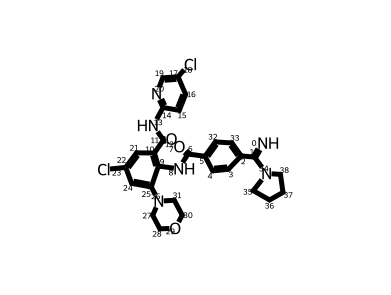 N=C(c1ccc(C(=O)Nc2c(C(=O)Nc3ccc(Cl)cn3)cc(Cl)cc2N2CCOCC2)cc1)N1CCCC1